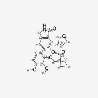 COc1ccc(-c2ccc3c(c2)CNC3=O)c(OCC2(C(=O)O[C@@H]3CCOC3)CCC2)c1OC